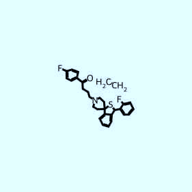 C=C.O=C(CCCN1CCC2(CC1)SC(c1ccccc1F)c1ccccc12)c1ccc(F)cc1